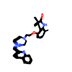 Cc1ccc(OCCN2CCN(Cc3ccc4ccccc4n3)CC2)c2c1NC(=O)C2(C)C